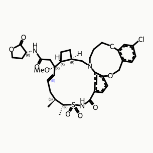 CO[C@@]1(CC(=O)N[C@@H]2CCOC2=O)/C=C/C[C@H](C)[C@@H](C)S(=O)(=O)NC(=O)c2ccc3c(c2)N(CCCCc2cc(Cl)ccc2CO3)C[C@@H]2CC[C@H]21